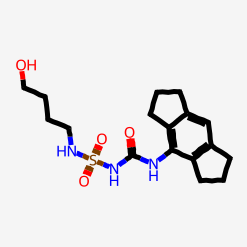 O=C(Nc1c2c(cc3c1CCC3)CCC2)NS(=O)(=O)NCCCCO